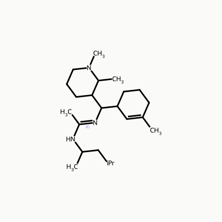 CC1=CC(C(/N=C(\C)NC(C)CC(C)C)C2CCCN(C)C2C)CCC1